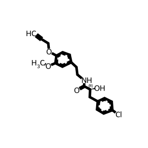 C#CCOc1ccc(CCNC(=O)[C@H](O)Cc2ccc(Cl)cc2)cc1OC